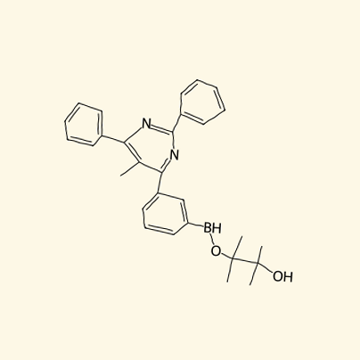 Cc1c(-c2ccccc2)nc(-c2ccccc2)nc1-c1cccc(BOC(C)(C)C(C)(C)O)c1